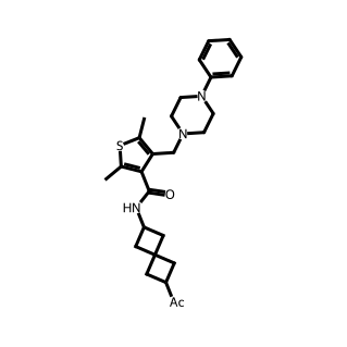 CC(=O)C1CC2(CC(NC(=O)c3c(C)sc(C)c3CN3CCN(c4ccccc4)CC3)C2)C1